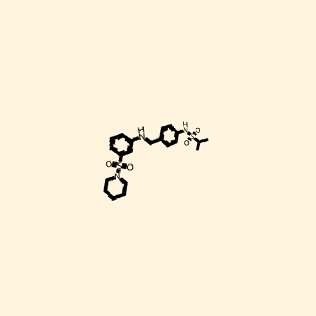 CC(C)S(=O)(=O)Nc1ccc(CNc2cccc(S(=O)(=O)N3CCCCC3)c2)cc1